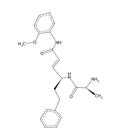 COc1ccccc1NC(=O)C=C[C@H](CCc1ccccc1)NC(=O)[C@H](C)N